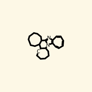 C1=C\C=C/c2c(nc3n2C2CCCCCCC2C2CCCCCCCC32)\C=C/1